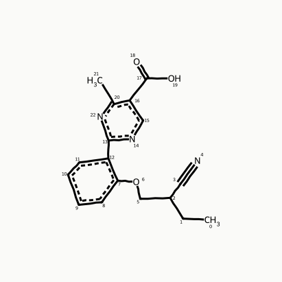 CCC(C#N)COc1ccccc1-c1ncc(C(=O)O)c(C)n1